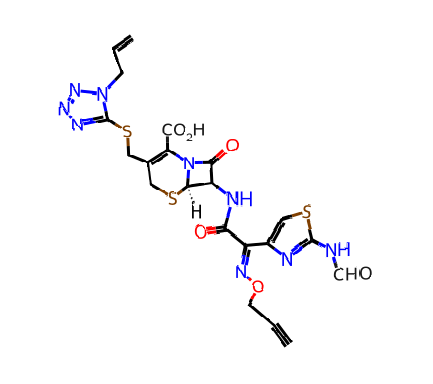 C#CCO/N=C(/C(=O)NC1C(=O)N2C(C(=O)O)=C(CSc3nnnn3CC=C)CS[C@H]12)c1csc(NC=O)n1